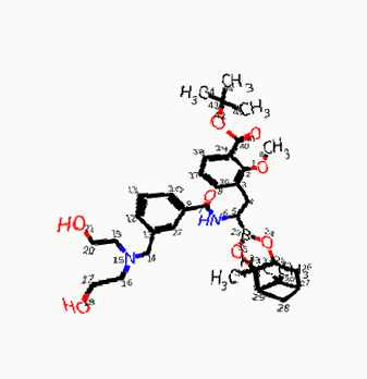 COc1c(CC(NC(=O)c2cccc(CN(CCO)CCO)c2)B2OC3CC4CC(C4(C)C)C3(C)O2)cccc1C(=O)OC(C)(C)C